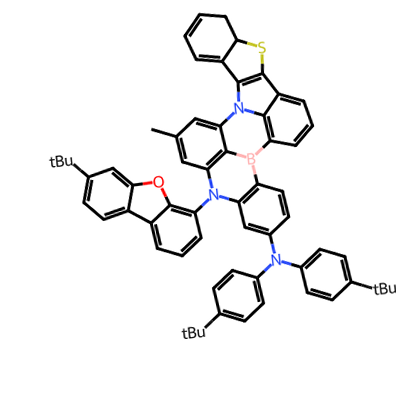 Cc1cc2c3c(c1)-n1c4c(c5cccc(c51)B3c1ccc(N(c3ccc(C(C)(C)C)cc3)c3ccc(C(C)(C)C)cc3)cc1N2c1cccc2c1oc1cc(C(C)(C)C)ccc12)SC1CC=CC=C41